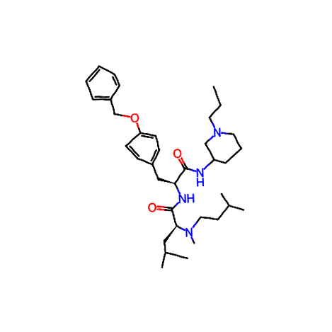 CCCN1CCCC(NC(=O)[C@H](Cc2ccc(OCc3ccccc3)cc2)NC(=O)[C@H](CC(C)C)N(C)CCC(C)C)C1